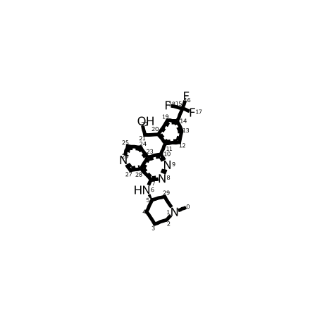 CN1CCC[C@@H](Nc2nnc(-c3ccc(C(F)(F)F)cc3CO)c3ccncc23)C1